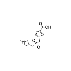 CN1CC(CS(=O)(=O)Cc2ccc(C(=O)O)o2)C1